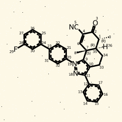 C[C@H]1C(=O)C(C#N)=C[C@@]2(C)c3c(c(-c4ccccc4)nn3-c3ccc(-c4cccc(F)c4)cc3)CC[C@H]12